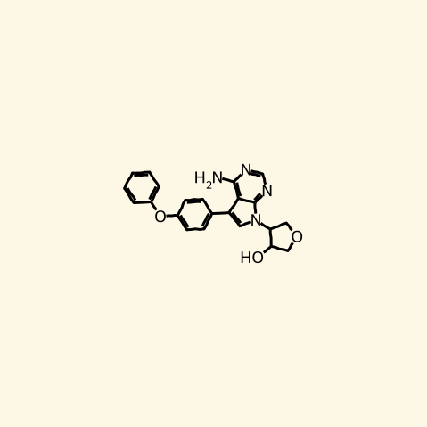 Nc1ncnc2c1c(-c1ccc(Oc3ccccc3)cc1)cn2C1COCC1O